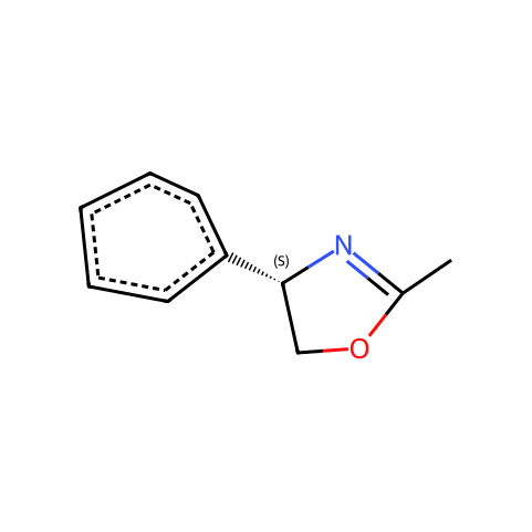 CC1=N[C@@H](c2ccccc2)CO1